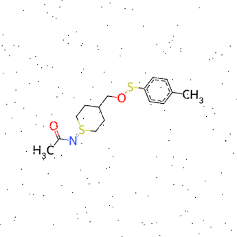 CC(=O)N=S1CCC(COSc2ccc(C)cc2)CC1